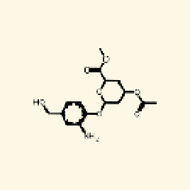 COC(=O)C1CC(OC(C)=O)CC(Oc2ccc(CO)cc2N)O1